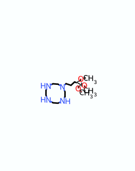 CO[Si](CCCN1CCNCCNCCNCC1)(OC)OC